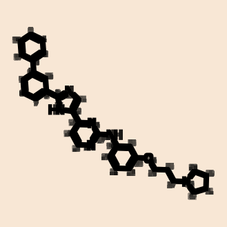 c1ccc(-c2cccc(-c3ncc(-c4ccnc(Nc5cccc(OCCCN6CCCC6)c5)n4)[nH]3)c2)cc1